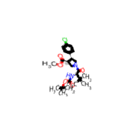 COC(=O)[C@@H]1CN(C(=O)[C@@H](NC(=O)OC(C)(C)C)C(C)(C)C)C[C@H]1c1ccc(Cl)cc1